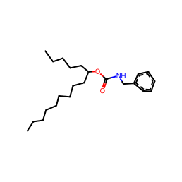 CCCCCCCCCC(CCCCC)OC(=O)NCc1ccccc1